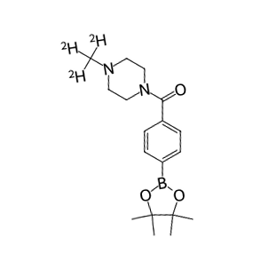 [2H]C([2H])([2H])N1CCN(C(=O)c2ccc(B3OC(C)(C)C(C)(C)O3)cc2)CC1